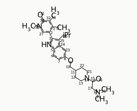 Cc1c(-c2[nH]c3ccc(OCC4CCN(C(=O)CN(C)C)CC4)cc3c2C(C)C)cn(C)c(=O)c1C